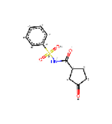 O=C1CCC(C(=O)NS(=O)(=O)c2ccccc2)C1